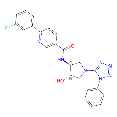 O=C(N[C@H]1CN(c2nnnn2-c2ccccc2)C[C@@H]1O)c1ccc(-c2cccc(F)c2)nc1